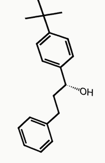 CC(C)(C)c1ccc([C@H](O)CCc2ccccc2)cc1